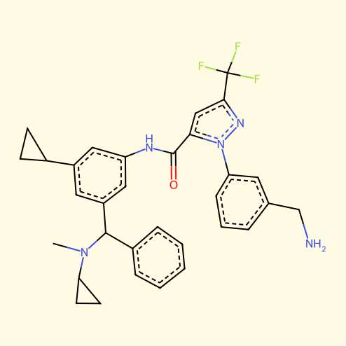 CN(C1CC1)C(c1ccccc1)c1cc(NC(=O)c2cc(C(F)(F)F)nn2-c2cccc(CN)c2)cc(C2CC2)c1